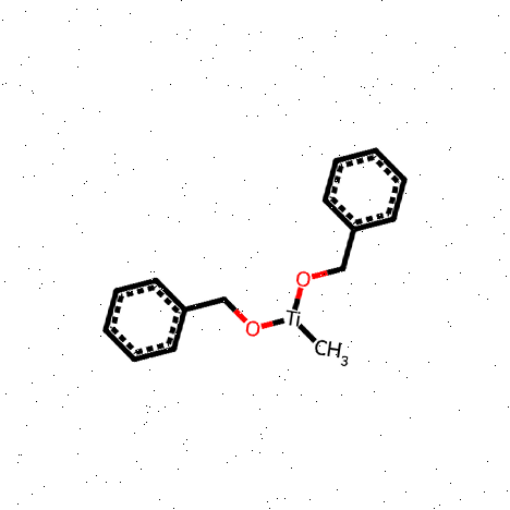 [CH3][Ti]([O]Cc1ccccc1)[O]Cc1ccccc1